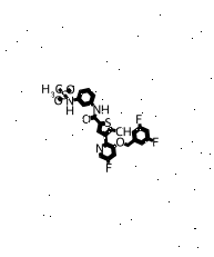 Cc1sc(C(=O)Nc2cccc(NS(C)(=O)=O)c2)cc1-c1ncc(F)cc1OCc1cc(F)cc(F)c1